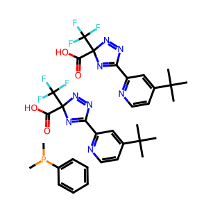 CC(C)(C)c1ccnc(C2=NC(C(=O)O)(C(F)(F)F)N=N2)c1.CC(C)(C)c1ccnc(C2=NC(C(=O)O)(C(F)(F)F)N=N2)c1.CP(C)c1ccccc1